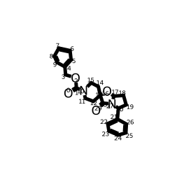 O=C(OCc1ccccc1)N1CCC2(CC1)OC1CCC(c3ccccc3)N1C2=O